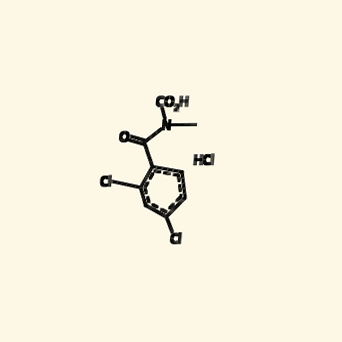 CN(C(=O)O)C(=O)c1ccc(Cl)cc1Cl.Cl